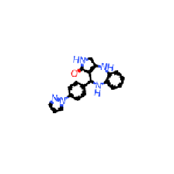 O=C1NCC2=C1C(c1ccc(-n3cccn3)cc1)Nc1ccccc1N2